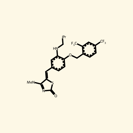 CNC1=NC(=O)S/C1=C\c1ccc(OCc2ccc(C(F)(F)F)cc2C(F)(F)F)c(NCC(C)C)c1